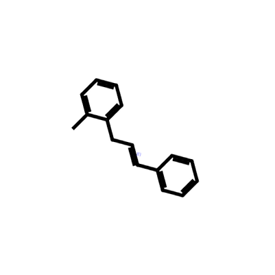 Cc1ccccc1C/C=C/c1ccccc1